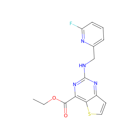 CCOC(=O)c1nc(NCc2cccc(F)n2)nc2ccsc12